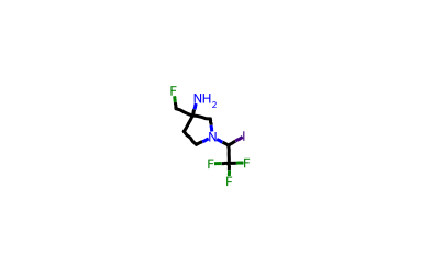 NC1(CF)CCN(C(I)C(F)(F)F)C1